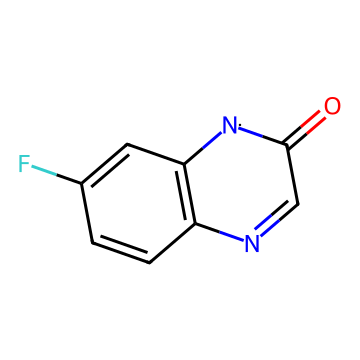 O=C1C=Nc2ccc(F)cc2[N]1